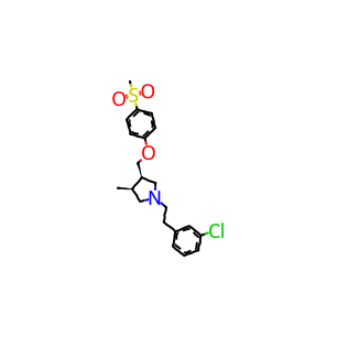 C[C@@H]1CN(CCc2cccc(Cl)c2)C[C@@H]1COc1ccc(S(C)(=O)=O)cc1